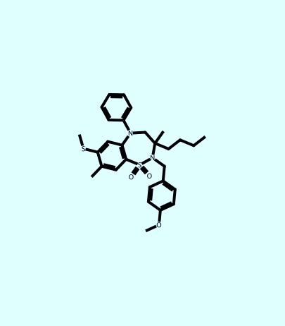 CCCCC1(C)CN(c2ccccc2)c2cc(SC)c(C)cc2S(=O)(=O)N1Cc1ccc(OC)cc1